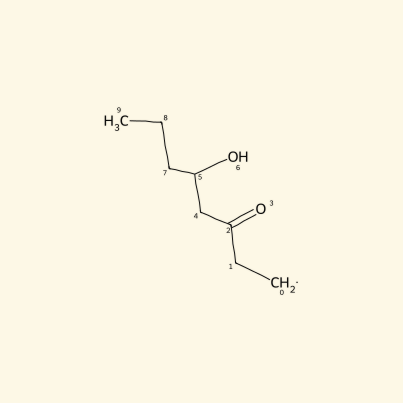 [CH2]CC(=O)CC(O)CCC